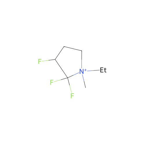 CC[N+]1(C)CCC(F)C1(F)F